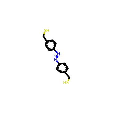 SCc1ccc(/N=N/c2ccc(CS)cc2)cc1